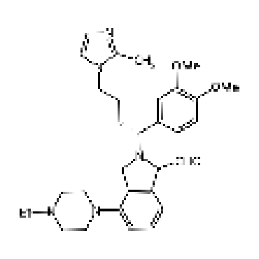 CCN1CCN(c2cccc3c2CN([C@H](CCCn2ccnc2C)c2ccc(OC)c(OC)c2)C3C=O)CC1